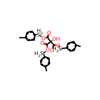 Cc1ccc([SiH2]OC(=O)C(O)(C(=O)O[SiH2]c2ccc(C)cc2)C(=O)O[SiH2]c2ccc(C)cc2)cc1